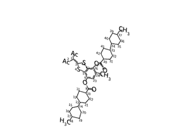 CC(=O)C(C(C)=O)=C1Sc2c(OC(=O)C3CCC(C4CCC(C)CC4)CC3)cc(C)c(OC(=O)C3CCC(C4CCC(C)CC4)CC3)c2S1